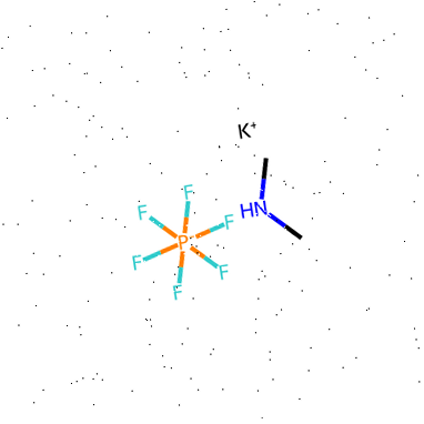 CNC.F[P-](F)(F)(F)(F)F.[K+]